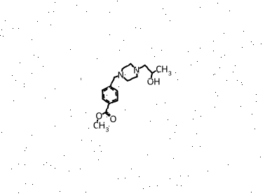 COC(=O)c1ccc(CN2CCN(CC(C)O)CC2)cc1